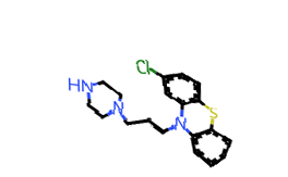 Clc1ccc2c(c1)N(CCCN1CCNCC1)c1ccccc1S2